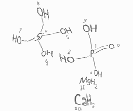 O=P(O)(O)O.O[Si](O)(O)O.[CaH2].[MgH2]